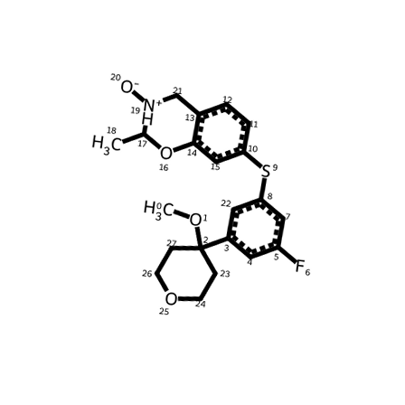 COC1(c2cc(F)cc(Sc3ccc4c(c3)OC(C)[NH+]([O-])C4)c2)CCOCC1